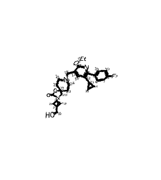 CCOc1nc(-c2ccc(F)cc2)c(C2CC2)cc1CN1CCC2(CC1)CN(C13CC(CO)(C1)C3)C(=O)O2